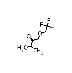 CC(C)C(=O)COCC(F)(F)F